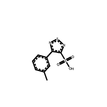 Cc1cccc(-c2nsnc2S(=O)(=O)O)c1